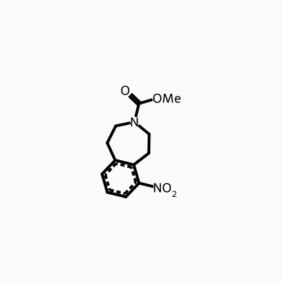 COC(=O)N1CCc2cccc([N+](=O)[O-])c2CC1